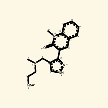 CNCCN(C)Cc1c[nH]nc1-c1cc2ccccc2n(C)c1=O